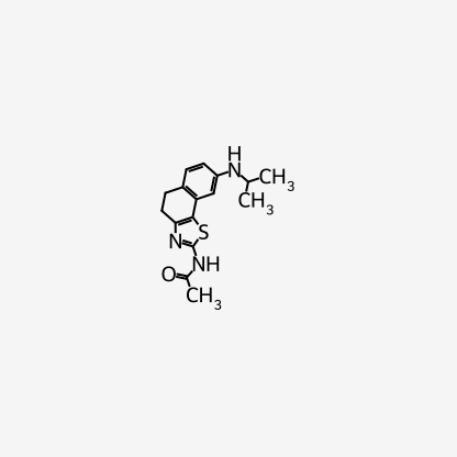 CC(=O)Nc1nc2c(s1)-c1cc(NC(C)C)ccc1CC2